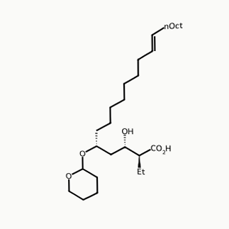 CCCCCCCCC=CCCCCCCC[C@H](C[C@H](O)[C@H](CC)C(=O)O)OC1CCCCO1